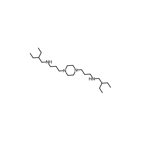 CCC(CC)CNCCCN1CCN(CCCNCC(CC)CC)CC1